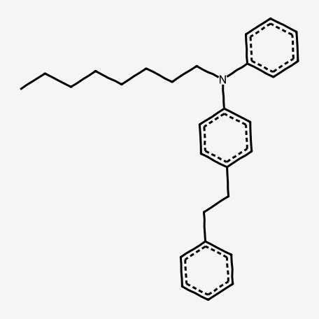 CCCCCCCCN(c1ccccc1)c1ccc(CCc2ccccc2)cc1